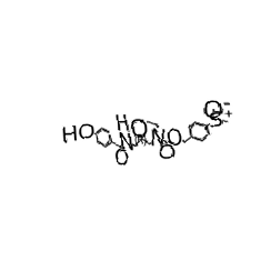 C[S+]([O-])c1ccc(COC(=O)N2CCO[C@H](CNC(=O)c3ccc(O)cc3)C2)cc1